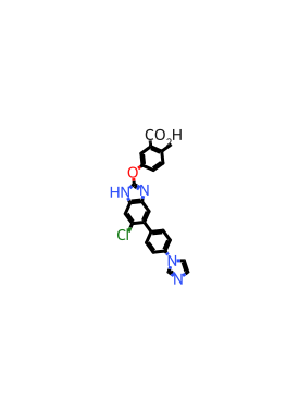 Cc1ccc(Oc2nc3cc(-c4ccc(-n5ccnc5)cc4)c(Cl)cc3[nH]2)cc1C(=O)O